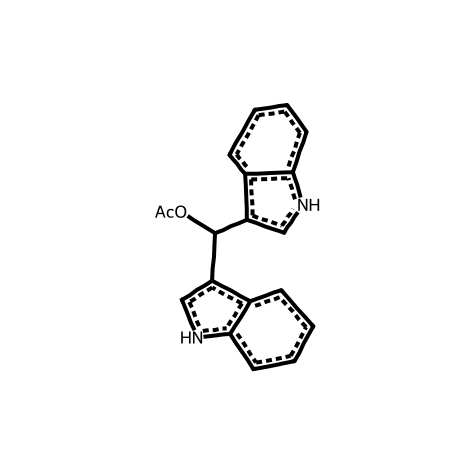 CC(=O)OC(c1c[nH]c2ccccc12)c1c[nH]c2ccccc12